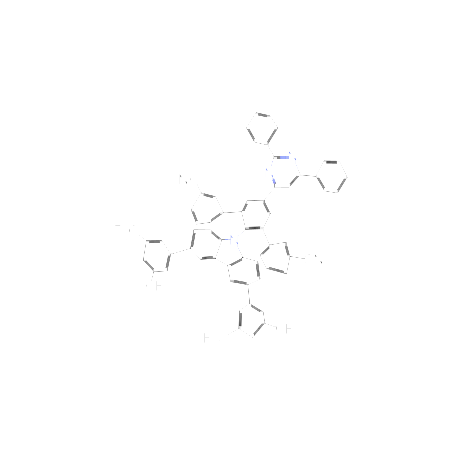 N#Cc1cccc(-c2cc(-c3cc(-c4ccccc4)nc(-c4ccccc4)n3)cc(-c3cccc(C#N)c3)c2-n2c3ccc(-c4cc(C(F)(F)F)cc(C(F)(F)F)c4)cc3c3cc(-c4cc(C(F)(F)F)cc(C(F)(F)F)c4)ccc32)c1